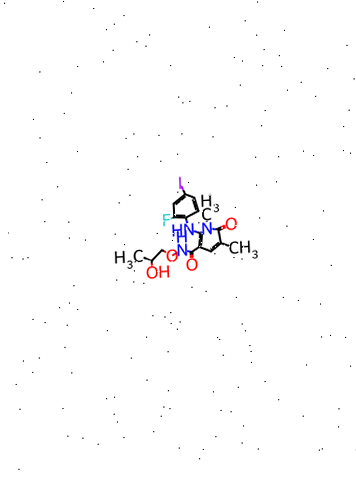 Cc1cc(C(=O)NOC[C@H](C)O)c(Nc2ccc(I)cc2F)n(C)c1=O